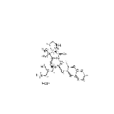 CCCC(C)(C)C(=O)N(C(=O)[C@@H]1CCCN1)[C@H](Cc1ccc2ccccc2c1)C(=O)NCC(O)CN.Cl